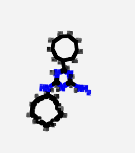 Nc1nc(Nc2ccccccccc2)nc(C2CCCCCCCC2)n1